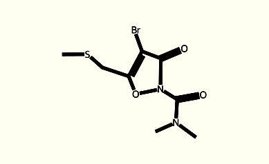 CSCc1on(C(=O)N(C)C)c(=O)c1Br